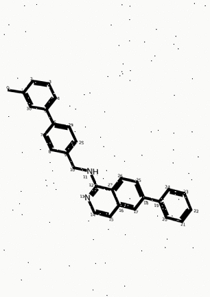 Cc1cccc(-c2ccc(CNc3nccc4cc(-c5ccccc5)ccc34)cc2)c1